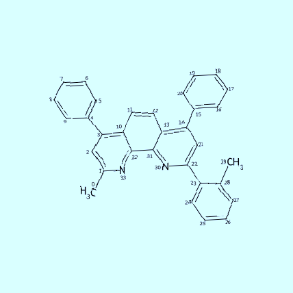 Cc1cc(-c2ccccc2)c2ccc3c(-c4ccccc4)cc(-c4ccccc4C)nc3c2n1